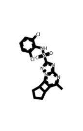 Cc1nc2nc(S(=O)(=O)Nc3c(Cl)cccc3Cl)nn2c2c1C1CCCC21